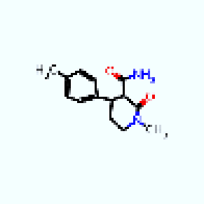 Cc1ccc(C2CCN(C)C(=O)C2C(N)=O)cc1